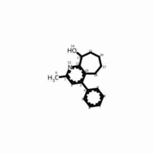 Cc1cc(-c2ccccc2)c2c(n1)C(O)CCCC2